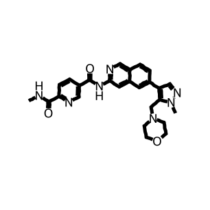 CNC(=O)c1ccc(C(=O)Nc2cc3cc(-c4cnn(C)c4CN4CCOCC4)ccc3cn2)cn1